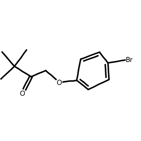 CC(C)(C)C(=O)COc1ccc(Br)cc1